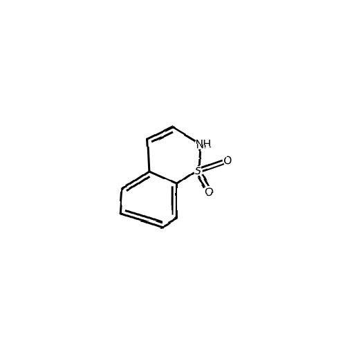 O=S1(=O)NC=Cc2ccccc21